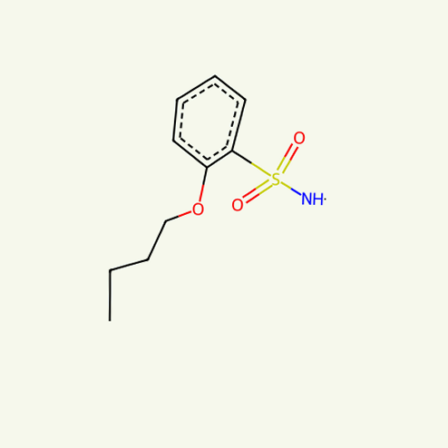 CCCCOc1ccccc1S([NH])(=O)=O